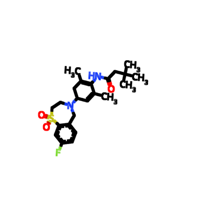 CC1=CC(N2CCS(=O)(=O)c3cc(F)ccc3C2)CC(C)=C1NC(=O)CC(C)(C)C